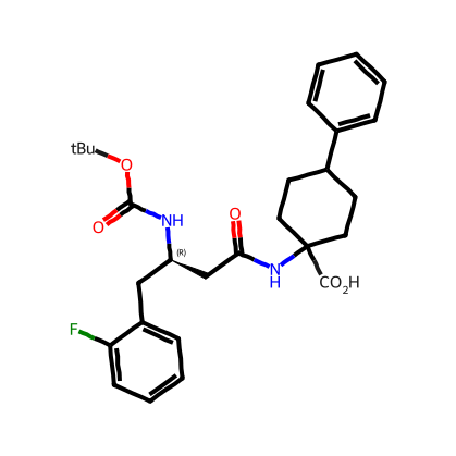 CC(C)(C)OC(=O)N[C@@H](CC(=O)NC1(C(=O)O)CCC(c2ccccc2)CC1)Cc1ccccc1F